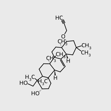 C#CCO[C@@H]1CC(C)(C)C[C@@H]2C3=CC[C@@H]4[C@@]5(C)CC[C@H](O)C(C)(CO)C5CC[C@@]4(C)[C@]3(C)CC[C@]21C